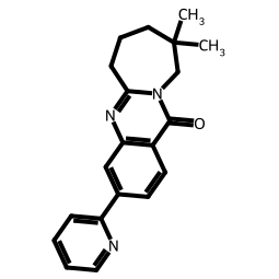 CC1(C)CCCc2nc3cc(-c4ccccn4)ccc3c(=O)n2C1